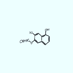 O=COc1cc2cccc(O)c2cc1O